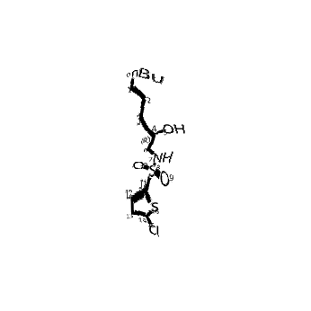 CCCCC=CC[C@@H](O)CNS(=O)(=O)c1ccc(Cl)s1